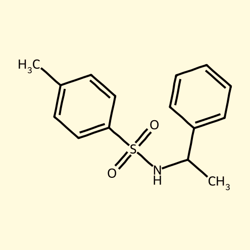 Cc1ccc(S(=O)(=O)NC(C)c2ccccc2)cc1